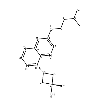 CC(C)CCOc1cnc2c(c1)ncnc2[C@H]1C[C@@](C)(O)C1